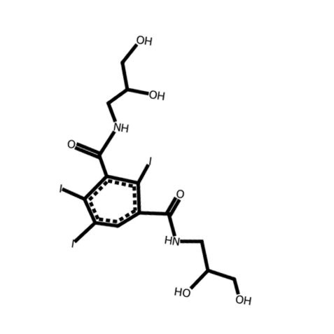 O=C(NCC(O)CO)c1cc(I)c(I)c(C(=O)NCC(O)CO)c1I